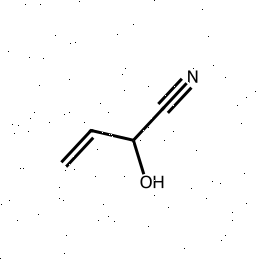 C=CC(O)C#N